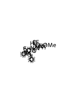 COC1(C)CN(c2nc(C(=O)Nc3cc(F)c(N4C5CCCC4CC5)c(OCc4ccccc4)c3)c(CC(F)(F)F)o2)C1